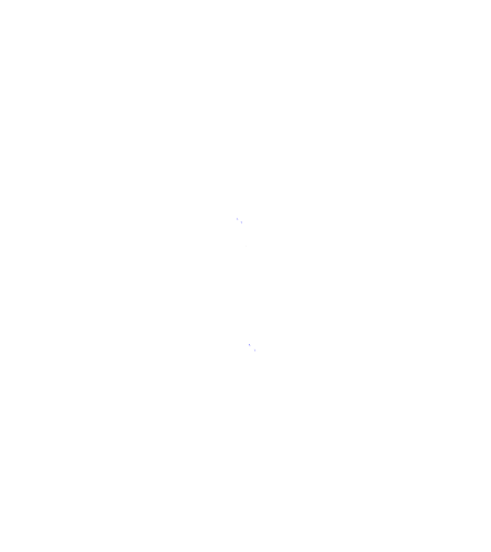 C1CCCCC(N(C2CCCCCCC2)C2CCCCC(N(C3CCCCCCCC3)C3CCCCCCCC3)CCC2)CCCC1